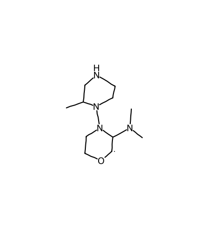 CC1CNCCN1N1CCO[CH]C1N(C)C